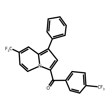 O=C(c1ccc(C(F)(F)F)cc1)c1cc(-c2ccccc2)c2cc(C(F)(F)F)ccn12